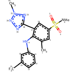 CNS(=O)(=O)c1cc(C)c(Nc2cccc(C(F)(F)F)c2)c(-c2nnn(C)n2)c1